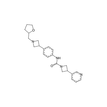 O=C(Nc1ccc(C2CN(CC3CCCO3)C2)cc1)N1CC(c2cccnc2)C1